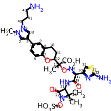 C[n+]1cc(-c2ccc3c(c2)CCC(C(C)(O/N=C(\C(=O)NC2C(=O)N(OS(=O)(=O)O)C2(C)C)c2csc(N)n2)C(=O)O)O3)cn1CCCN